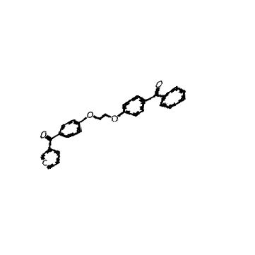 O=C(c1ccccc1)c1ccc(OCCOc2ccc(C(=O)c3ccccc3)cc2)cc1